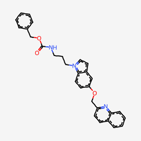 O=C(NCCCn1ccc2cc(OCc3ccc4ccccc4n3)ccc21)OCc1ccccc1